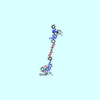 CN[C@@H](C)C(=O)N[C@H](C(=O)N1CCC2CCN(CCc3ccc(OCCOCCOCCOC4CCC(Nc5nccc(-c6cnn(Cc7ccccc7)c6N(C)C)n5)CC4)cc3)CC21)C1CCCCC1